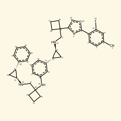 N#Cc1ccc(-c2nc(C3(CN[C@H]4C[C@@H]4c4cccc(NC5(CN[C@H]6C[C@@H]6c6ccccc6)CCC5)c4)CCC3)no2)c(F)c1